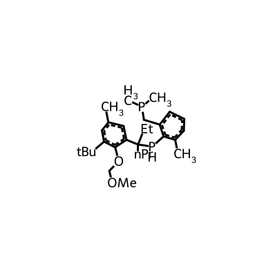 CCCC(CC)(Pc1c(C)cccc1CP(C)C)c1cc(C)cc(C(C)(C)C)c1OCOC